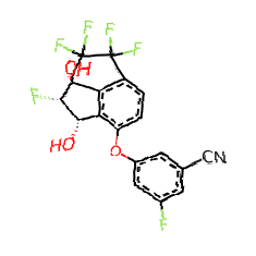 N#Cc1cc(F)cc(Oc2ccc3c4c2[C@H](O)[C@H](F)[C@]4(O)C(F)(F)C3(F)F)c1